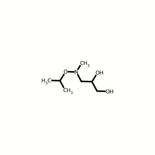 CC(C)ON(C)CC(O)CO